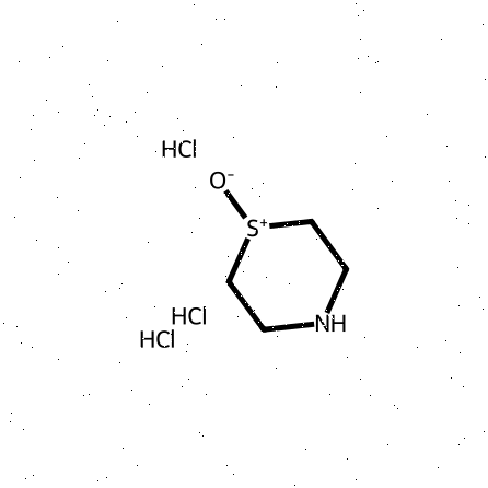 Cl.Cl.Cl.[O-][S+]1CCNCC1